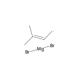 [Br][Mg][Br].[CH2]C=C(C)C